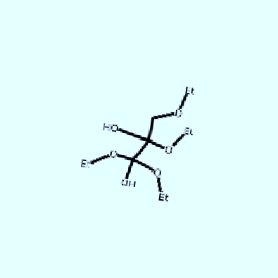 CCOCC(O)(OCC)C(O)(OCC)OCC